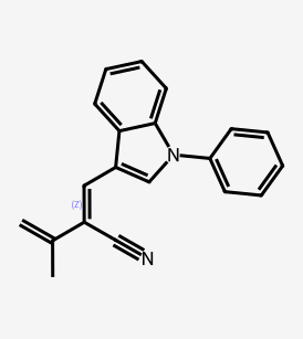 C=C(C)/C(C#N)=C/c1cn(-c2ccccc2)c2ccccc12